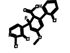 COC1=CC(F)(c2ccnc(Cl)c2Cl)C(C(=O)O)C(c2ccccc2Cl)=C1